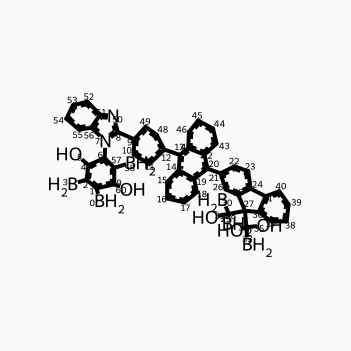 Bc1c(B)c(O)c(-n2c(-c3ccc(-c4c5ccccc5c(-c5ccc6c(c5)C(C(B)(B)O)(C(B)(O)O)c5ccccc5-6)c5ccccc45)cc3)nc3ccccc32)c(B)c1O